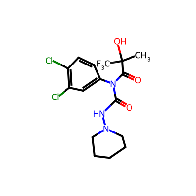 CC(O)(C(=O)N(C(=O)NN1CCCCC1)c1ccc(Cl)c(Cl)c1)C(F)(F)F